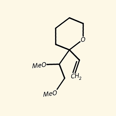 C=CC1(C(COC)OC)CCCCO1